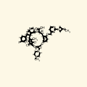 COC1CN(c2nccc(COc3ccc4cc3C[C@H](C(=O)O)Oc3ncnc5sc(-c6ccc(F)cc6)c(c35)-c3c(C)c(Cl)c(c(Cl)c3C)O[C@H](CN3CCN(C)CC3)CO4)n2)C1